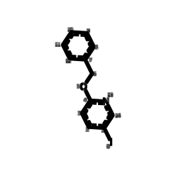 Ic1ccc(OCc2ccccc2)nc1